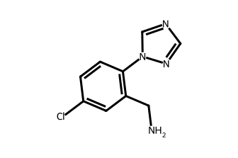 NCc1cc(Cl)ccc1-n1cncn1